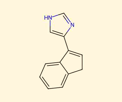 C1=C(c2c[nH]cn2)c2ccccc2C1